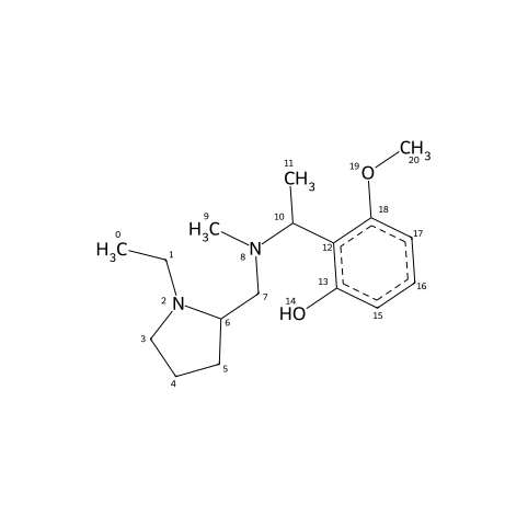 CCN1CCCC1CN(C)C(C)c1c(O)cccc1OC